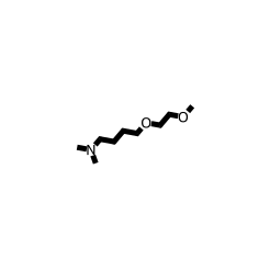 COCCOCCCCN(C)C